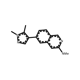 CNc1cc2cc(-c3cnn(C)c3C)ccc2cn1